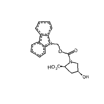 O=C(O)[C@@H]1C[C@H](O)CN1C(=O)OCn1c2ccccc2c2ccccc21